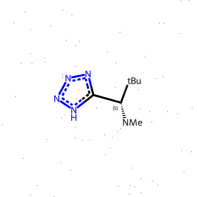 CN[C@H](c1nnn[nH]1)C(C)(C)C